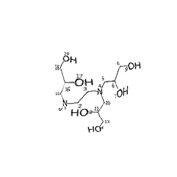 CN(CCN(CC(O)CO)CC(O)CO)CC(O)CO